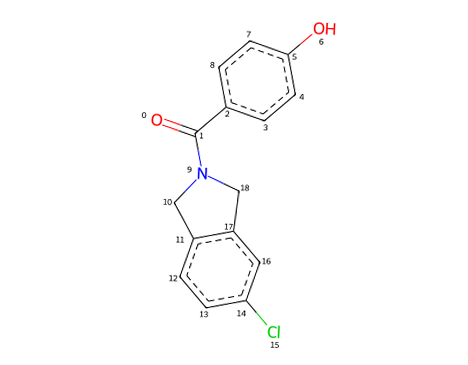 O=C(c1ccc(O)cc1)N1Cc2ccc(Cl)cc2C1